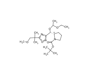 CCOC(C)OC(c1noc(C(C)(C)COC)n1)[C@@H]1CCCN1C(=O)OC(C)(C)C